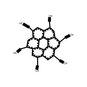 C#Cc1cc2c(C#C)cc3c(C#C)cc4c(C#C)cc5c(C#C)cc6c(C#C)cc1c1c2c3c4c5c61